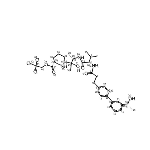 CC(C)[C@H](NC(=O)CCc1ccc(-c2cccc([C@@H](C)O)c2)nc1)C(=O)N[C@@H](C)C(C)(O)N1CCC[C@@H](C(=O)OCC(Cl)(Cl)Cl)N1